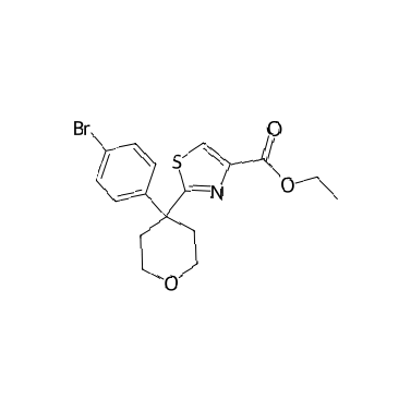 CCOC(=O)c1csc(C2(c3ccc(Br)cc3)CCOCC2)n1